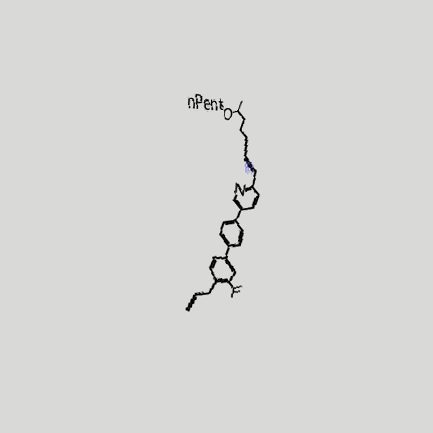 C=CCc1ccc(-c2ccc(-c3ccc(/C=C/CCCC(C)OCCCCC)nc3)cc2)cc1F